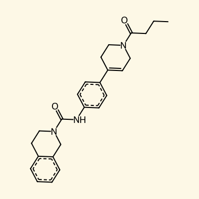 CCCC(=O)N1CC=C(c2ccc(NC(=O)N3CCc4ccccc4C3)cc2)CC1